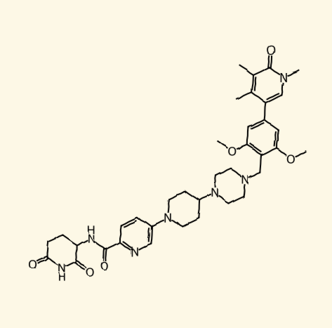 COc1cc(-c2cn(C)c(=O)c(C)c2C)cc(OC)c1CN1CCN(C2CCN(c3ccc(C(=O)NC4CCC(=O)NC4=O)nc3)CC2)CC1